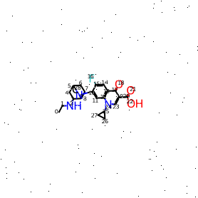 CCNC1CC2CCC1N(c1cc3c(cc1F)c(=O)c(C(=O)O)cn3C1CC1)C2